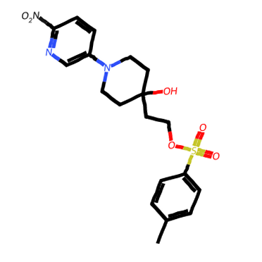 Cc1ccc(S(=O)(=O)OCCC2(O)CCN(c3ccc([N+](=O)[O-])nc3)CC2)cc1